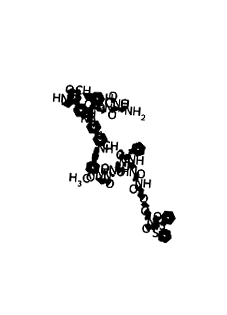 COc1ccc(C#CCNC2(C)CCN(C3CCN(c4nc([C@@](COCNC(=O)[C@H](CC(N)=O)NC(C)=O)(OC5CC5)c5ccccc5)c5cc(-c6cn(C)c(=O)c7[nH]ccc67)ccc5n4)CC3)CC2)cc1N1CCC(=O)N(CNC(=O)CNC(=O)[C@H](Cc2ccccc2)NC(=O)CNC(=O)CNC(=O)CCOCCOCCN2C(=O)C(Sc3ccccc3)=C(Sc3ccccc3)C2=O)C1=O